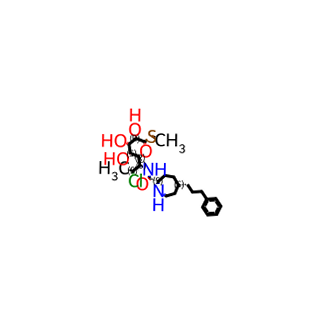 CSC1O[C@H]([C@H](NC(=O)[C@@H]2CC[C@H](CCCc3ccccc3)CCN2)[C@H](C)Cl)[C@@H](O)C(O)[C@H]1O